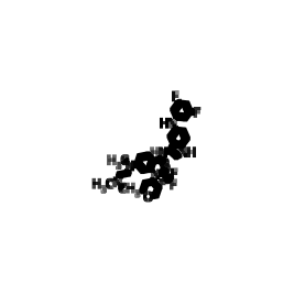 CN(C)CCN(C)c1ccc(C(=O)Nc2c[nH]c3ccc(Nc4cc(F)cc(F)c4)cc23)c(N(C(=O)C(F)(F)F)C2CCOCC2)c1